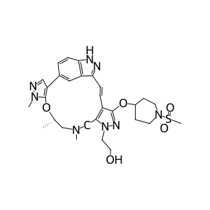 C[C@H]1CN(C)Cc2c(c(OC3CCN(S(C)(=O)=O)CC3)nn2CCO)/C=C/c2n[nH]c3ccc(cc23)-c2cnn(C)c2O1